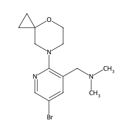 CN(C)Cc1cc(Br)cnc1N1CCOC2(CC2)C1